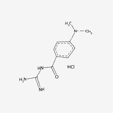 CN(C)c1ccc(C(=O)NC(=N)N)cc1.Cl